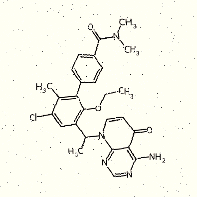 CCOc1c(C(C)n2ccc(=O)c3c(N)ncnc32)cc(Cl)c(C)c1-c1ccc(C(=O)N(C)C)cc1